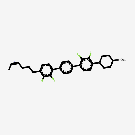 C/C=C\CCCc1ccc(-c2ccc(-c3ccc(C4CCC(CCCCCCCC)CC4)c(F)c3F)cc2)c(F)c1F